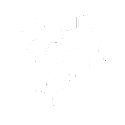 Cc1nn(Cc2cccc(-c3cc(=O)c4c(O)cc(O)c([C@H]5CCN(C)C[C@H]5O)c4o3)c2)c(C)c1Br.O=C(O)C(F)(F)F